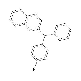 Fc1ccc([C](c2ccccc2)c2ccc3ccccc3c2)cc1